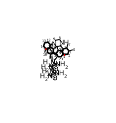 Cc1cccc(C2NCCN(c3cccc(C)c3C)C2(c2cccc(C)c2C)c2cccc(C)c2C)c1C.NP(N)(N)=O.NP(N)(N)=O